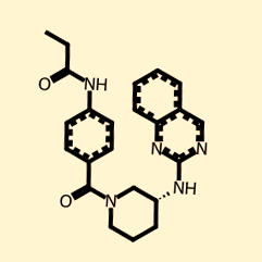 CCC(=O)Nc1ccc(C(=O)N2CCC[C@@H](Nc3ncc4ccccc4n3)C2)cc1